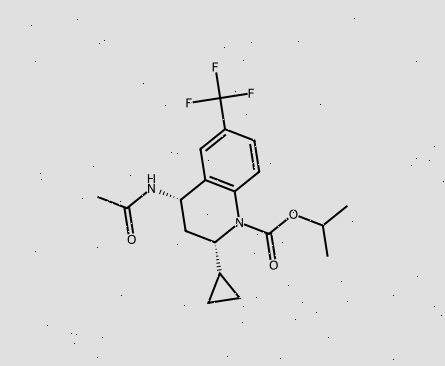 CC(=O)N[C@H]1C[C@@H](C2CC2)N(C(=O)OC(C)C)c2ccc(C(F)(F)F)cc21